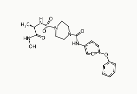 C[C@@H](NS(=O)(=O)N1CCN(C(=O)Nc2ccc(Oc3ccccc3)cc2)CC1)C(=O)NO